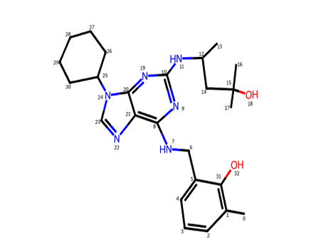 Cc1cccc(CNc2nc(NC(C)CC(C)(C)O)nc3c2ncn3C2CCCCC2)c1O